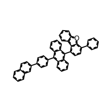 c1ccc(-c2ccc(-c3c4ccccc4c(-c4ccc(-c5ccc6ccccc6c5)cc4)c4ccccc34)c3c2oc2ccccc23)cc1